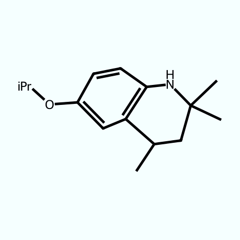 CC(C)Oc1ccc2c(c1)C(C)CC(C)(C)N2